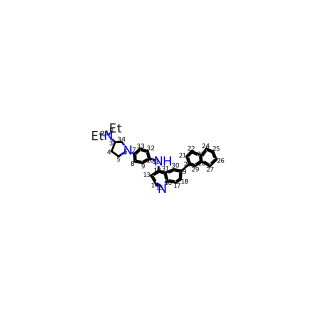 CCN(CC)C1CCN(c2ccc(Nc3ccnc4ccc(-c5ccc6ccccc6c5)cc34)cc2)C1